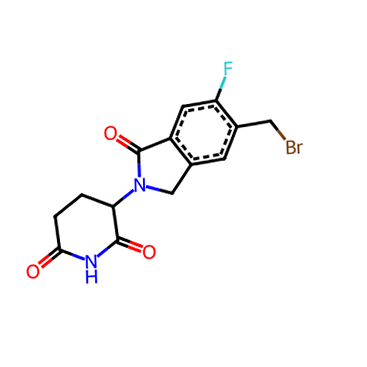 O=C1CCC(N2Cc3cc(CBr)c(F)cc3C2=O)C(=O)N1